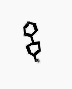 FC(F)(F)c1ccc(-c2c[c]ncn2)cc1